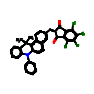 CC1(C)c2ccccc2N(c2ccccc2)c2ccc3cc(C=C4C(=O)c5c(Cl)c(Cl)c(Cl)c(Cl)c5C4=O)ccc3c21